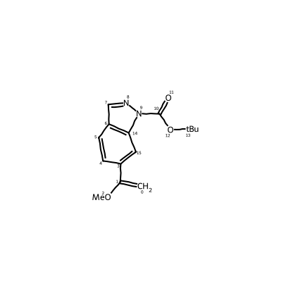 C=C(OC)c1ccc2cnn(C(=O)OC(C)(C)C)c2c1